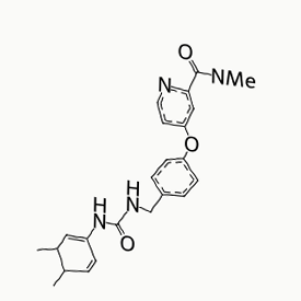 CNC(=O)c1cc(Oc2ccc(CNC(=O)NC3=CC(C)C(C)C=C3)cc2)ccn1